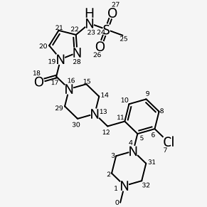 CN1CCN(c2c(Cl)cccc2CN2CCN(C(=O)n3ccc(NS(C)(=O)=O)n3)CC2)CC1